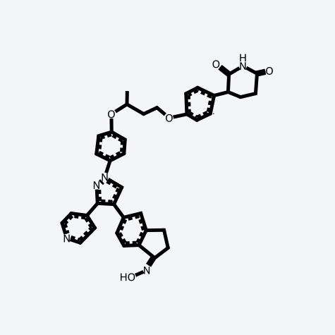 CC(CCOc1c[c]c(C2CCC(=O)NC2=O)cc1)Oc1ccc(-n2cc(-c3ccc4c(c3)CC/C4=N/O)c(-c3ccncc3)n2)cc1